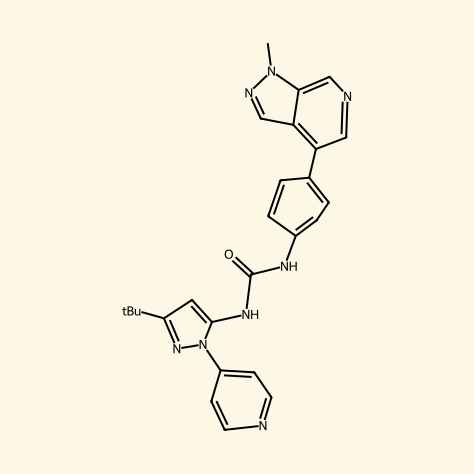 Cn1ncc2c(-c3ccc(NC(=O)Nc4cc(C(C)(C)C)nn4-c4ccncc4)cc3)cncc21